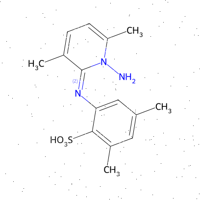 Cc1cc(C)c(S(=O)(=O)O)c(/N=c2/c(C)ccc(C)n2N)c1